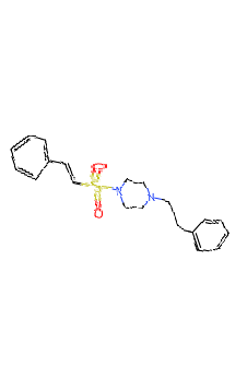 O=S(=O)(/C=C/c1ccccc1)N1CCN(CCc2ccccc2)CC1